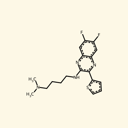 CN(C)CCCCNc1nc2cc(F)c(F)cc2nc1-c1cccs1